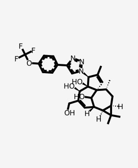 CC1=C[C@]23C(O)[C@@H](C=C(CO)[C@@H](O)[C@]2(O)[C@H]1n1cc(-c2ccc(OC(F)(F)F)cc2)nn1)[C@H]1[C@@H](C[C@H]3C)C1(C)C